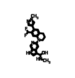 CNC(O)c1c[nH]c2cnc(N3CCCc4cc(-c5cnn(C)c5)c(C(F)F)cc43)cc12